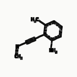 C=NC#Cc1c(C)cccc1N